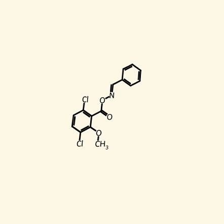 COc1c(Cl)ccc(Cl)c1C(=O)ON=Cc1ccccc1